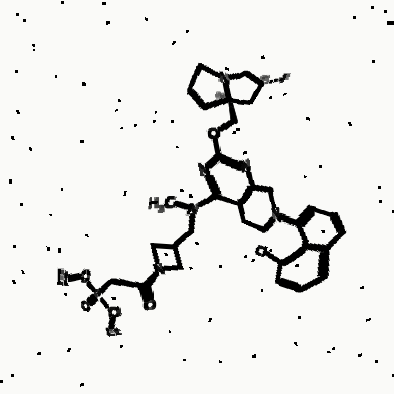 CCOP(=O)(CC(=O)N1CC(CN(C)c2nc(OC[C@@]34CCCN3C[C@H](F)C4)nc3c2CCN(c2cccc4cccc(Cl)c24)C3)C1)OCC